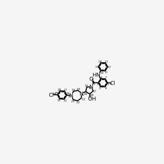 O=C(c1ccc(Cl)cc1Nc1ccccc1)N1CC(O)C(N2CCCN(c3ccc(Cl)cc3)CC2)C1